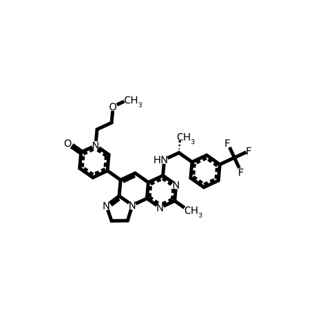 COCCn1cc(C2=Cc3c(N[C@H](C)c4cccc(C(F)(F)F)c4)nc(C)nc3N3CCN=C23)ccc1=O